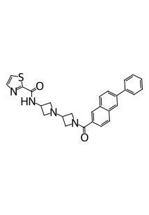 O=C(NC1CN(C2CN(C(=O)c3ccc4cc(-c5ccccc5)ccc4c3)C2)C1)c1nccs1